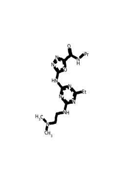 CCc1nc(NCCN(C)C)nc(Nc2nnc(C(=O)NC(C)C)o2)n1